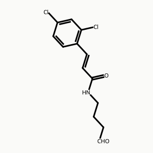 O=CCCCNC(=O)C=Cc1ccc(Cl)cc1Cl